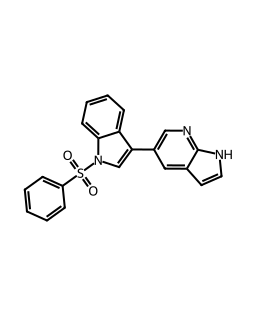 O=S(=O)(c1ccccc1)n1cc(-c2cnc3[nH]ccc3c2)c2ccccc21